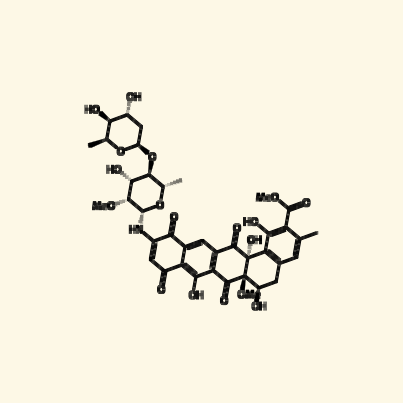 COC(=O)c1c(C)cc2c(c1O)[C@]1(O)C(=O)c3cc4c(c(O)c3C(=O)[C@@]1(OC)[C@H](O)C2)C(=O)C=C(N[C@H]1O[C@@H](C)[C@H](O[C@@H]2C[C@@H](O)[C@H](O)[C@H](C)O2)[C@@H](O)[C@H]1OC)C4=O